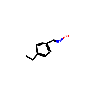 CCc1[c]cc(C=NO)cc1